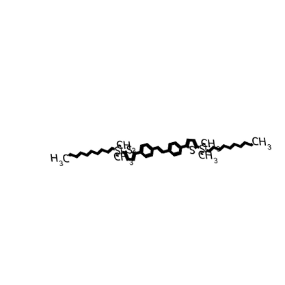 CCCCCCCCCC[Si](C)(C)c1ccc(-c2ccc(/C=C/c3ccc(-c4ccc([Si](C)(C)CCCCCCCCCC)s4)cc3)cc2)s1